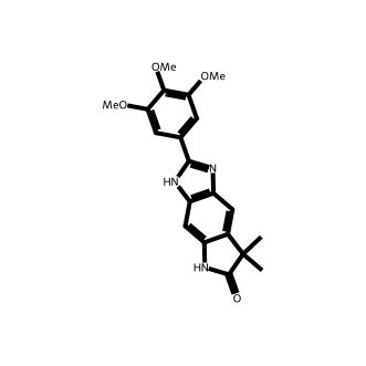 COc1cc(-c2nc3cc4c(cc3[nH]2)NC(=O)C4(C)C)cc(OC)c1OC